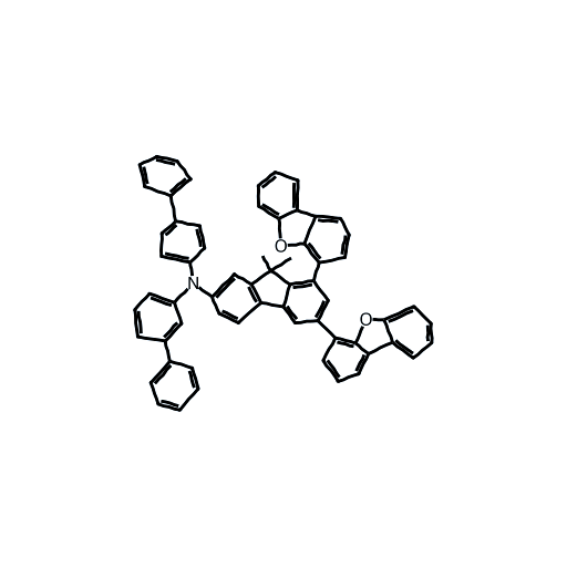 CC1(C)c2cc(N(c3ccc(-c4ccccc4)cc3)c3cccc(-c4ccccc4)c3)ccc2-c2cc(-c3cccc4c3oc3ccccc34)cc(-c3cccc4c3oc3ccccc34)c21